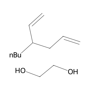 C=CCC(C=C)CCCC.OCCO